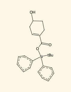 CC(C)(C)[Si](OC(=O)C1=CCC(O)CC1)(c1ccccc1)c1ccccc1